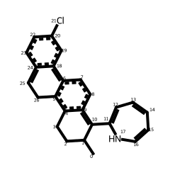 CC1CCc2c3c(ccc2=C1C1=CC=CC=CN1)=c1cc(Cl)ccc1=CC3